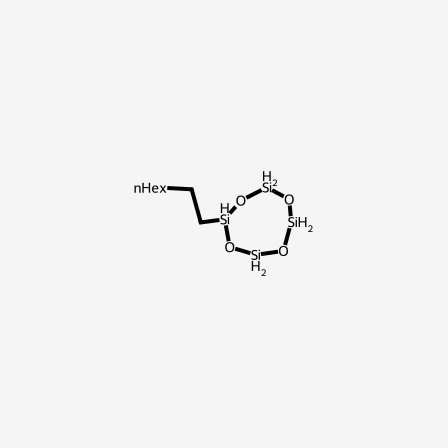 CCCCCCCC[SiH]1O[SiH2]O[SiH2]O[SiH2]O1